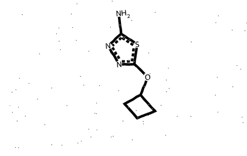 Nc1nnc(OC2CCC2)s1